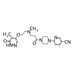 Cc1c(OCCN(C)CCC(=O)N2CCN(c3ccc(C#N)cn3)CC2)cn[nH]c1=O